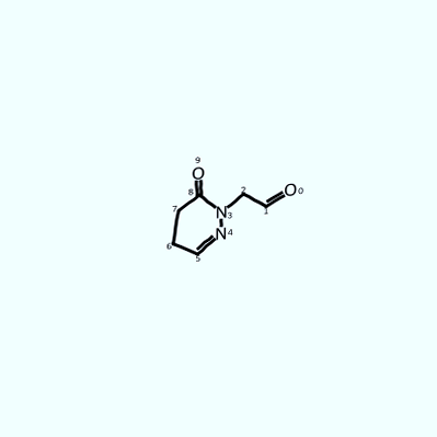 O=CCN1N=CCCC1=O